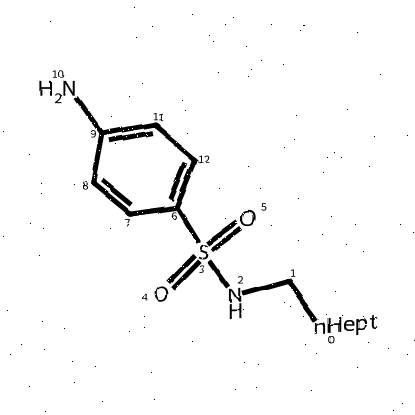 CCCCCCCCNS(=O)(=O)c1ccc(N)cc1